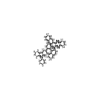 c1ccc(-n2c3ccccc3c3cc(-c4cccc5c4c4c6ccccc6ccc4n5-c4nc5ccccc5nc4-c4ccc5ccccc5c4)ccc32)cc1